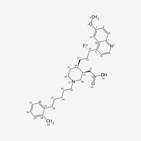 COc1ccc2nccc([C@@H](F)CC[C@@H]3CCN(CCCCCc4ccccc4C)C[C@@H]3CC(=O)O)c2c1